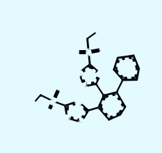 CCS(=O)(=O)c1nnc(-c2cccc(-c3ccccc3)c2-c2nnc(S(=O)(=O)CC)o2)o1